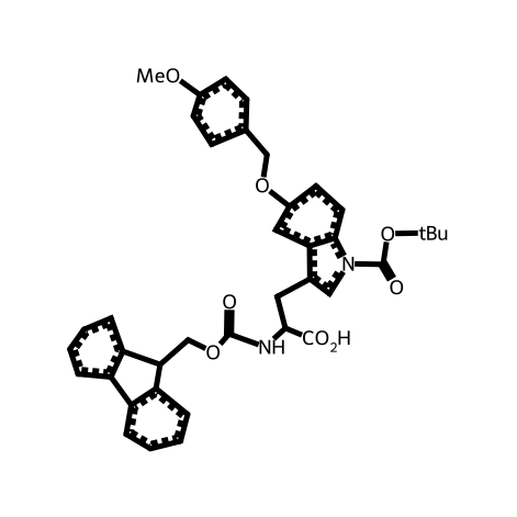 COc1ccc(COc2ccc3c(c2)c(CC(NC(=O)OCC2c4ccccc4-c4ccccc42)C(=O)O)cn3C(=O)OC(C)(C)C)cc1